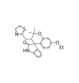 CCOc1ccc2c(c1)OC(C)(C)C(Cc1nccs1)C21C(=O)Nc2ccccc21